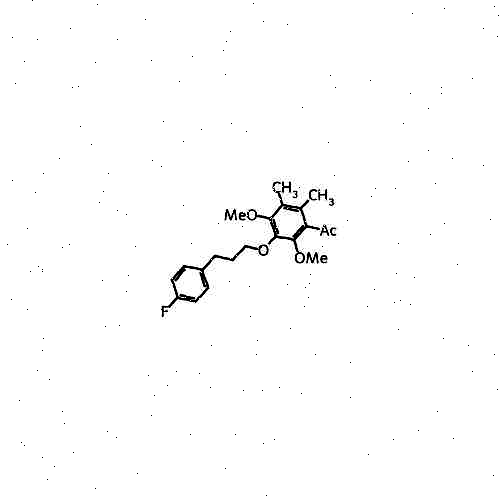 COc1c(C)c(C)c(C(C)=O)c(OC)c1OCCCc1ccc(F)cc1